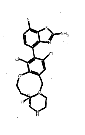 Nc1nc2c(-c3c(Cl)cc4c(c3Cl)OCC[C@H]3CNCCN3C4)ccc(F)c2s1